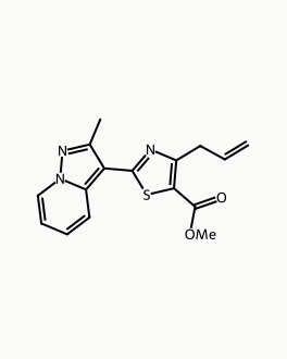 C=CCc1nc(-c2c(C)nn3ccccc23)sc1C(=O)OC